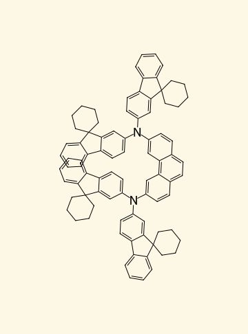 c1ccc2c(c1)-c1ccc(N(c3ccc4c(c3)C3(CCCCC3)c3ccccc3-4)c3ccc4ccc5ccc(N(c6ccc7c(c6)C6(CCCCC6)c6ccccc6-7)c6ccc7c(c6)C6(CCCCC6)c6ccccc6-7)cc5c4c3)cc1C21CCCCC1